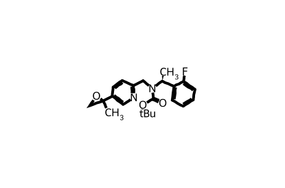 C[C@H](c1ccccc1F)N(Cc1ccc(C2(C)CO2)cn1)C(=O)OC(C)(C)C